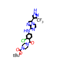 CC(C)(C)OC(=O)N1CCN(C(=O)c2ccc(Nc3nccn4c(-c5c[nH]nc5C(F)(F)F)cnc34)cc2Cl)CC1